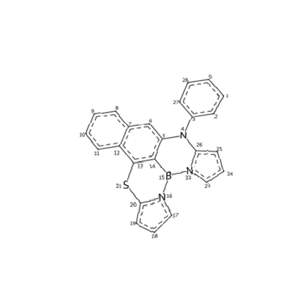 c1ccc(N2c3cc4ccccc4c4c3B(n3cccc3S4)n3cccc32)cc1